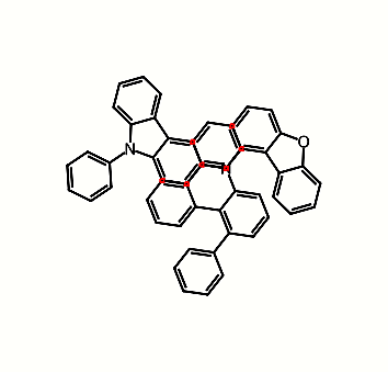 c1ccc(-c2ccccc2-c2c(-c3ccccc3)cccc2N(c2ccc3c(c2)c2ccccc2n3-c2ccccc2)c2cccc3oc4ccccc4c23)cc1